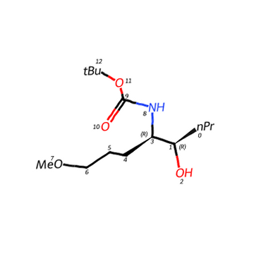 CCC[C@@H](O)[C@@H](CCCOC)NC(=O)OC(C)(C)C